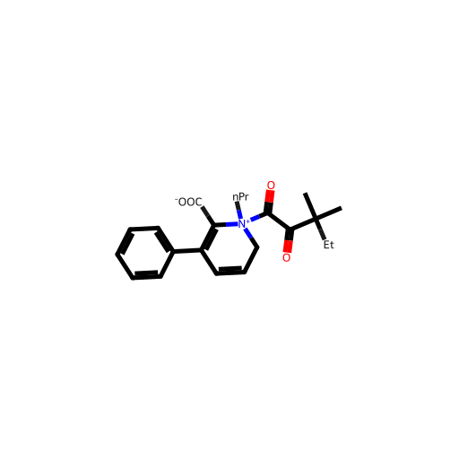 CCC[N+]1(C(=O)C(=O)C(C)(C)CC)CC=CC(c2ccccc2)=C1C(=O)[O-]